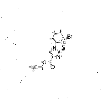 CCOC(=O)c1cn2c(n1)sc1c(Br)cccc12